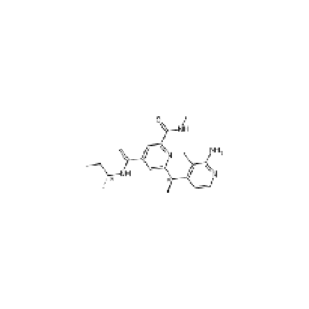 C=C(N[C@H](C)CC)c1cc(C(=O)NC)nc([C@H](C)c2ccnc(N)c2C)c1